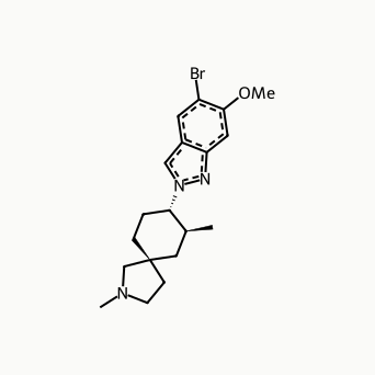 COc1cc2nn([C@H]3CC[C@]4(CCN(C)C4)C[C@@H]3C)cc2cc1Br